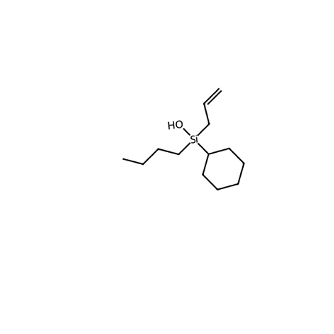 C=CC[Si](O)(CCCC)C1CCCCC1